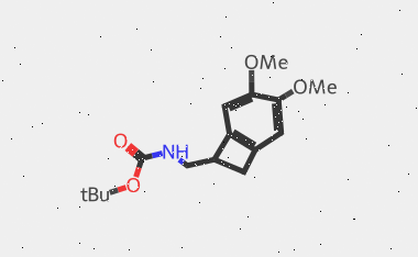 COc1cc2c(cc1OC)C(CNC(=O)OC(C)(C)C)C2